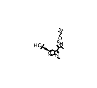 CCn1cc(-c2cn(COCCS(C)(C)C)nc2C)c2cc(C#CC(C)(C)O)ncc21